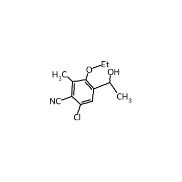 CCOc1c(C(C)O)cc(Cl)c(C#N)c1C